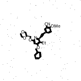 CCc1c(OCc2ccccc2)cc(OC[C@@H]2COCCO2)nc1C#Cc1ccc(OC)c(C#N)c1